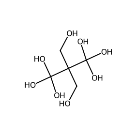 OCC(CO)(C(O)(O)O)C(O)(O)O